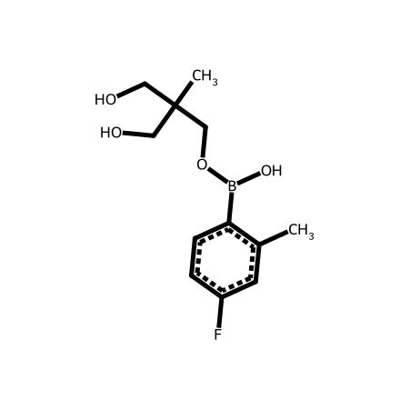 Cc1cc(F)ccc1B(O)OCC(C)(CO)CO